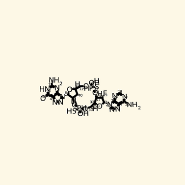 Nc1nc2c(nnn2[C@@H]2O[C@@H]3CO[PH](O)(S)O[C@H]4[C@H](F)[C@H](n5nnc6c(N)ncnc65)O[C@@H]4CO[PH](O)(S)O[C@@H]2C3)c(=O)[nH]1